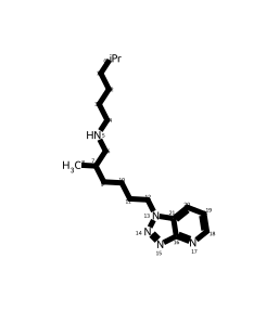 CC(C)CCCCNCC(C)CCCCn1nnc2ncccc21